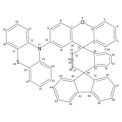 c1ccc2c(c1)Oc1ccc(N3c4ccccc4Sc4ccccc43)cc1C21c2ccccc2C2(c3ccccc3-c3ccccc32)c2ccccc21